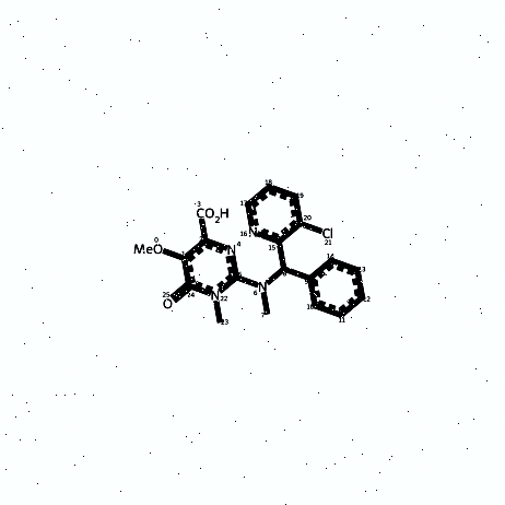 COc1c(C(=O)O)nc(N(C)C(c2ccccc2)c2ncccc2Cl)n(C)c1=O